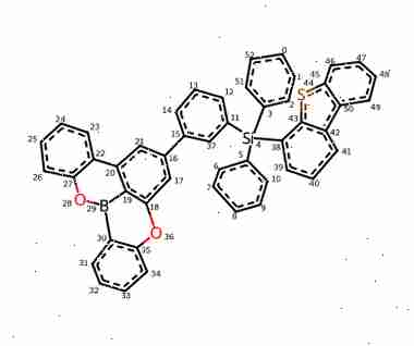 c1ccc([Si](c2ccccc2)(c2cccc(-c3cc4c5c(c3)-c3ccccc3OB5c3ccccc3O4)c2)c2cccc3c2sc2ccccc23)cc1